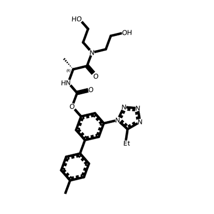 CCc1nnnn1-c1cc(OC(=O)N[C@H](C)C(=O)N(CCO)CCO)cc(-c2ccc(C)cc2)c1